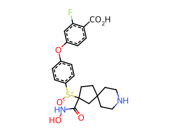 O=C(O)c1ccc(Oc2ccc([S+]([O-])C3(C(=O)NO)CCC4(CCNCC4)C3)cc2)cc1F